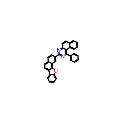 c1ccc(-c2nc(-c3ccc4ccc5c6ccccc6oc5c4c3)nc3ccc4ccccc4c23)cc1